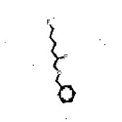 FCCCCC(F)COCc1ccccc1